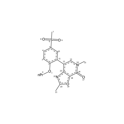 CCCOc1ccc(S(C)(=O)=O)cc1-c1cn(C)c(=O)c2oc(C)nc12